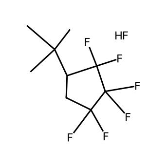 CC(C)(C)C1CC(F)(F)C(F)(F)C1(F)F.F